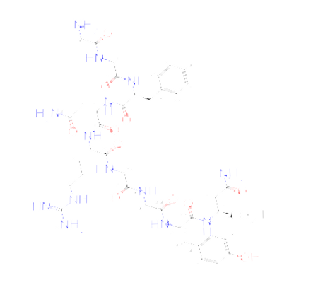 N=C(N)NCCC[C@H](NC(=O)[C@H](CC(N)=O)NC(=O)[C@H](Cc1ccccc1)NC(=O)CNC(=O)CN)C(=O)NCC(=O)NCC(=O)N[C@@H](Cc1ccc(O)cc1)C(=O)N[C@@H](CC(N)=O)C(=O)O